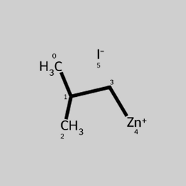 CC(C)[CH2][Zn+].[I-]